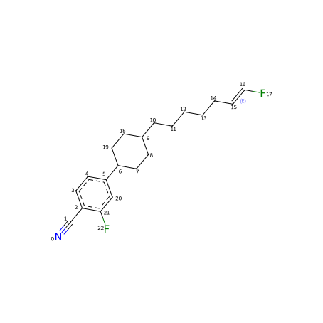 N#Cc1ccc(C2CCC(CCCCC/C=C/F)CC2)cc1F